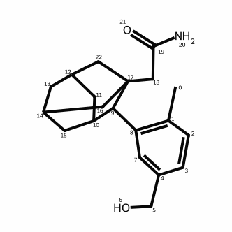 Cc1ccc(CO)cc1C1C2CC3CC(C2)CC1(CC(N)=O)C3